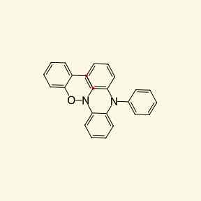 C1=CN(c2ccccc2N(c2ccccc2)c2ccccc2)Oc2ccccc21